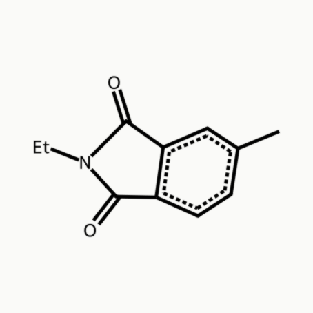 CCN1C(=O)c2ccc(C)cc2C1=O